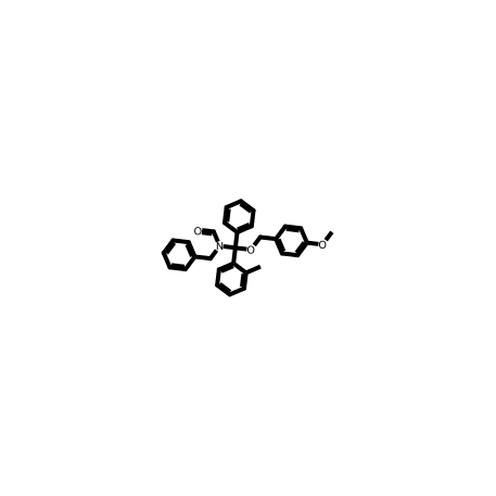 COc1ccc(COC(c2ccccc2)(c2ccccc2C)N(C=O)Cc2ccccc2)cc1